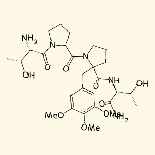 COc1cc(CC2(C(=O)N[C@H](C(N)=O)[C@@H](C)O)CCCN2C(=O)C2CCCN2C(=O)[C@@H](N)[C@@H](C)O)cc(OC)c1OC